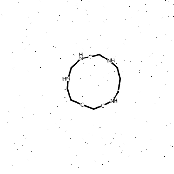 C1CCNCCCNCCNCNCC1